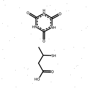 CC(S)CC(=O)O.O=c1[nH]c(=O)[nH]c(=O)[nH]1